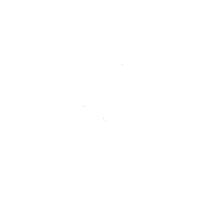 COc1cc(C)cc(OC)c1-c1cccc2c(N(Cc3ccoc3)CC3CC3)c(SC)nn12